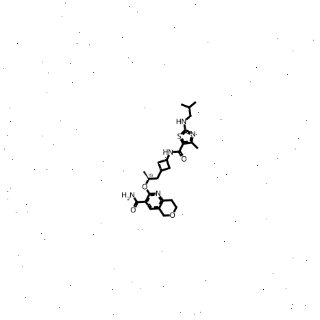 Cc1nc(NCC(C)C)sc1C(=O)NC1CC(C[C@H](C)Oc2nc3c(cc2C(N)=O)COCC3)C1